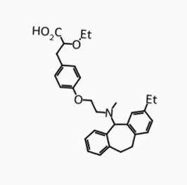 CCOC(Cc1ccc(OCCN(C)C2c3ccccc3CCc3ccc(CC)cc32)cc1)C(=O)O